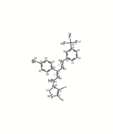 CC1=C(C)N(N/N=C(/N=N/c2cccc(C(F)(F)F)c2)c2ccc(Br)cc2)CS1